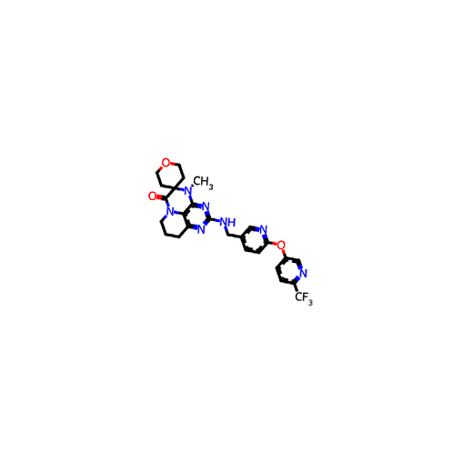 CN1c2nc(NCc3ccc(Oc4ccc(C(F)(F)F)nc4)nc3)nc3c2N(CCC3)C(=O)C12CCOCC2